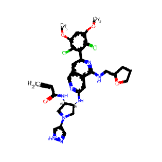 C=CC(=O)N[C@H]1CN(c2cn[nH]c2)C[C@H]1Nc1cc2c(NCC3CCCO3)nc(-c3c(Cl)c(OC)cc(OC)c3Cl)cc2cn1